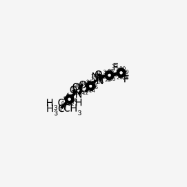 CC(C)(C)c1ccc(C(=O)N[C@@H](Cc2ccc(-c3noc(-c4ccc(-c5cc(F)ccc5F)cc4)n3)cc2)C(=O)O)cc1